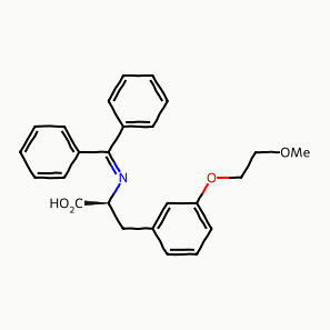 COCCOc1cccc(C[C@H](N=C(c2ccccc2)c2ccccc2)C(=O)O)c1